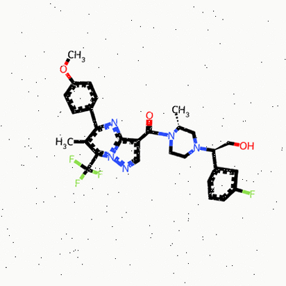 COc1ccc(-c2nc3c(C(=O)N4CCN([C@@H](CO)c5cccc(F)c5)C[C@H]4C)cnn3c(C(F)(F)F)c2C)cc1